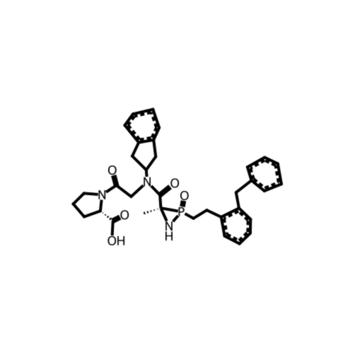 C[C@@]1(C(=O)N(CC(=O)N2CCC[C@H]2C(=O)O)C2Cc3ccccc3C2)NP1(=O)CCc1ccccc1Cc1ccccc1